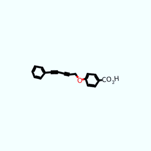 O=C(O)c1ccc(OCC#CC#Cc2ccccc2)cc1